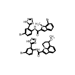 COC1CCn2c(C(=O)Nc3ccc(Br)cc3-c3nnn[nH]3)cc3cccc1c32.Cn1c(C(=O)Nc2ccc(Br)cc2-c2nnn[nH]2)cc2cccc(Br)c21